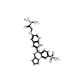 CN(C)C(=O)COc1cnc2[nH]c([C@H](CC3CCCC3)c3ccc(S(C)(=O)=O)cc3)cc2c1